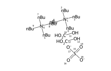 CCCC[N+](CCCC)(CCCC)CCCC.CCCC[N+](CCCC)(CCCC)CCCC.O=C(O)O.O=C(O)O.O=S(=O)([O-])[O-]